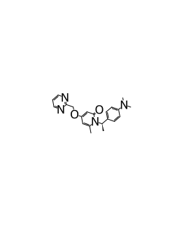 Cc1cc(OCc2ncccn2)cc(=O)n1[C@H](C)c1ccc(N(C)C)cc1